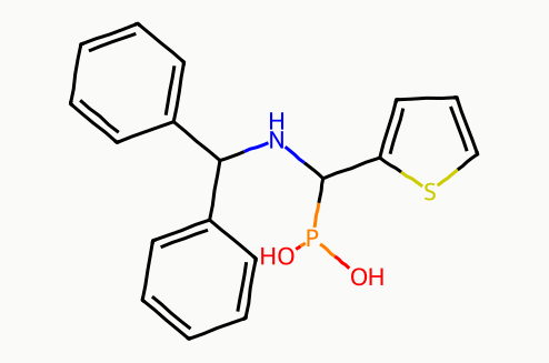 OP(O)C(NC(c1ccccc1)c1ccccc1)c1cccs1